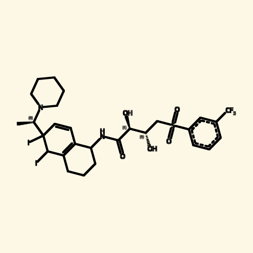 C[C@@H](N1CCCCC1)C1(I)C=CC2=C(CCCC2NC(=O)[C@@H](O)[C@@H](O)CS(=O)(=O)c2cccc(C(F)(F)F)c2)C1I